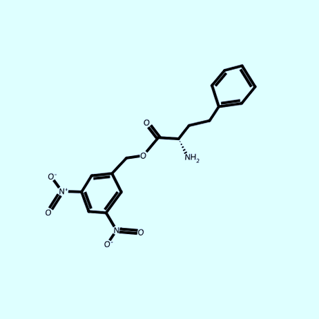 N[C@@H](CCc1ccccc1)C(=O)OCc1cc([N+](=O)[O-])cc([N+](=O)[O-])c1